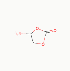 BC1COC(=O)O1